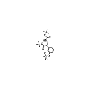 CC(C)(C)OC(=O)NCC(C(=O)OC(C)(C)C)c1cccc(OS(C)(=O)=O)c1